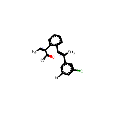 C/C=C(\C(=O)CC)c1ccccc1/C=C(\C)c1cc(Cl)cc(CC)c1